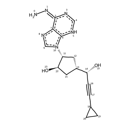 N/N=c1/nc[nH]c2c1ncn2[C@@H]1C[C@H]([C@H](O)C#CC2CC2)C[C@H]1O